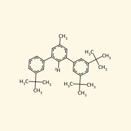 [2H]c1c(-c2cccc(C(C)(C)C)c2)cc(C)cc1-c1cc(C(C)(C)C)cc(C(C)(C)C)c1